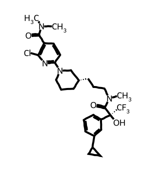 CN(C)C(=O)c1ccc(N2CCC[C@@H](CCCN(C)C(=O)[C@@](O)(c3cccc(C4CC4)c3)C(F)(F)F)C2)nc1Cl